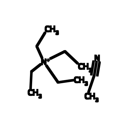 CC#N.CC[N+](CC)(CC)CC